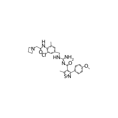 COc1ccc(-c2nsc(C)c2C(=O)/N=C(\N)NCc2cc(C)c(NC(=O)CN3CCC3)c(Cl)c2)cc1